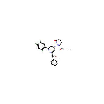 COC(=O)[C@@H]1CCC(=O)N1c1cc(-c2cc(Cl)c(F)cc2F)nc([C@@](O)(CO)c2ccccc2)c1